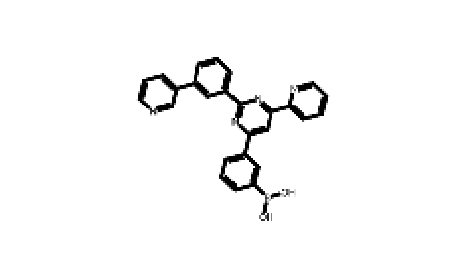 OB(O)c1cccc(-c2cc(-c3ccccn3)nc(-c3cccc(-c4cccnc4)c3)n2)c1